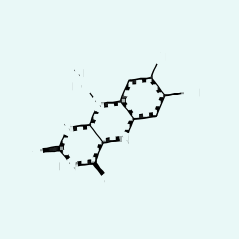 Cc1cc2nc3c(=O)[nH]c(=O)nc-3n(C)c2cc1C.N